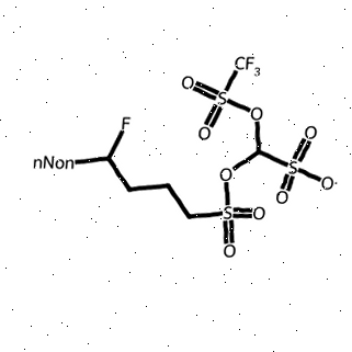 CCCCCCCCCC(F)CCCS(=O)(=O)OC(OS(=O)(=O)C(F)(F)F)S([O])(=O)=O